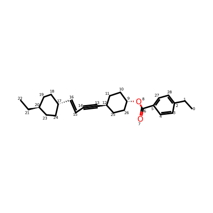 CCc1ccc(C(=O)O[C@H]2CC[C@H](C#CC=C[C@H]3CC[C@H](CC)CC3)CC2)cc1